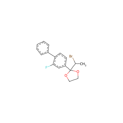 CC(Br)C1(c2ccc(-c3ccccc3)c(F)c2)OCCO1